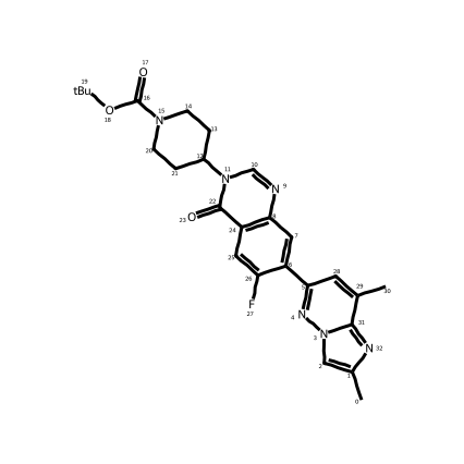 Cc1cn2nc(-c3cc4ncn(C5CCN(C(=O)OC(C)(C)C)CC5)c(=O)c4cc3F)cc(C)c2n1